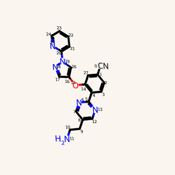 N#Cc1ccc(-c2ncc(CCN)cn2)c(Oc2cnn(-c3ccccn3)c2)c1